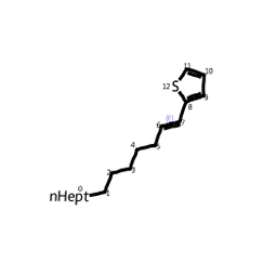 CCCCCCCCCCCC/C=C/c1cccs1